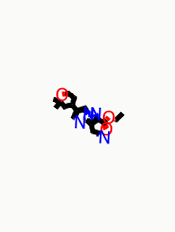 CCOC(=O)c1nn2cc(C3CCOC(C)(C)C3)cnc2c1CC#N